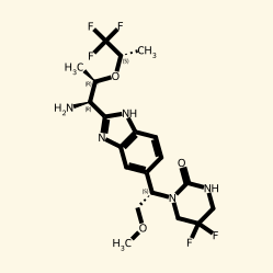 COC[C@H](c1ccc2[nH]c([C@@H](N)[C@@H](C)O[C@@H](C)C(F)(F)F)nc2c1)N1CC(F)(F)CNC1=O